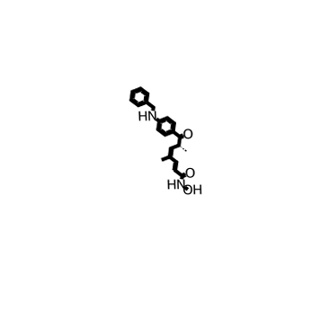 CC(C=CC(=O)NO)=C[C@@H](C)C(=O)c1ccc(NCc2ccccc2)cc1